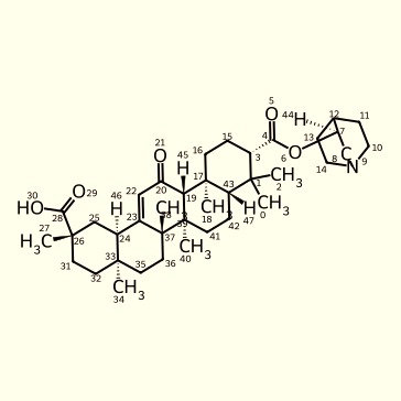 CC1(C)[C@@H](C(=O)O[C@@H]2CN3CCC2CC3)CC[C@]2(C)[C@H]3C(=O)C=C4[C@@H]5C[C@@](C)(C(=O)O)CC[C@]5(C)CC[C@@]4(C)[C@]3(C)CC[C@@H]12